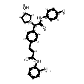 Nc1ccccc1NC(=O)C=Cc1ccc(C(C(=O)Nc2ccc(Cl)cc2)N2CC[C@H](O)C2)cc1